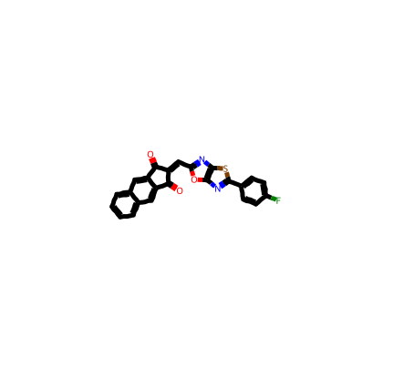 O=C1C(=Cc2nc3sc(-c4ccc(F)cc4)nc3o2)C(=O)c2cc3ccccc3cc21